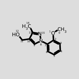 COc1ccccc1-n1cc(CO)c(C)n1